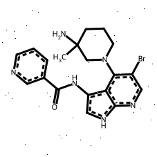 CC1(N)CCCN(c2c(Br)cnc3[nH]cc(NC(=O)c4cccnc4)c23)C1